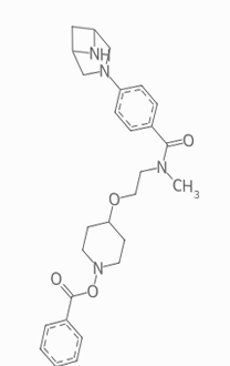 CN(CCOC1CCN(OC(=O)c2ccccc2)CC1)C(=O)c1ccc(N2CC3CC(C2)N3)cc1